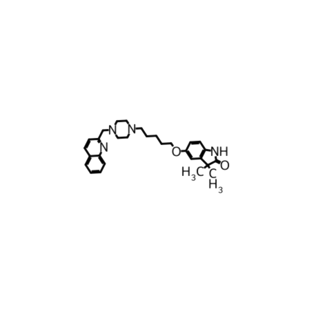 CC1(C)C(=O)Nc2ccc(OCCCCCN3CCN(Cc4ccc5ccccc5n4)CC3)cc21